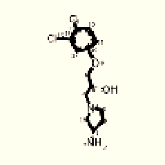 N[C@H]1CCN(C[C@@H](O)COc2ccc(Cl)c(Cl)c2)C1